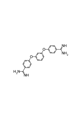 N=C(N)c1ccc(Oc2cccc(Oc3ccc(C(=N)N)cc3)c2)cc1